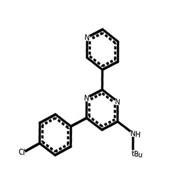 CC(C)(C)Nc1cc(-c2ccc(Cl)cc2)nc(-c2cccnc2)n1